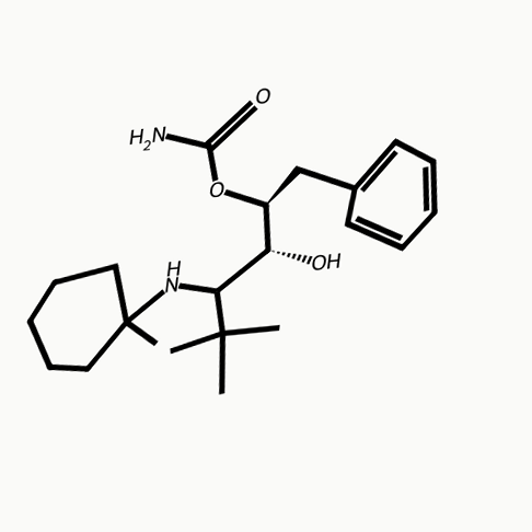 CC1(NC([C@@H](O)[C@H](Cc2ccccc2)OC(N)=O)C(C)(C)C)CCCCC1